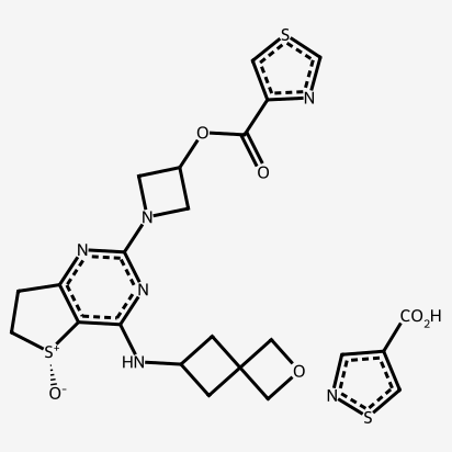 O=C(O)c1cnsc1.O=C(OC1CN(c2nc3c(c(NC4CC5(COC5)C4)n2)[S@+]([O-])CC3)C1)c1cscn1